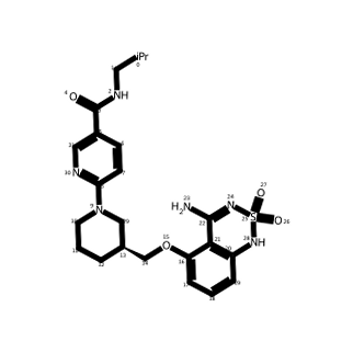 CC(C)CNC(=O)c1ccc(N2CCC[C@H](COc3cccc4c3C(N)=NS(=O)(=O)N4)C2)nc1